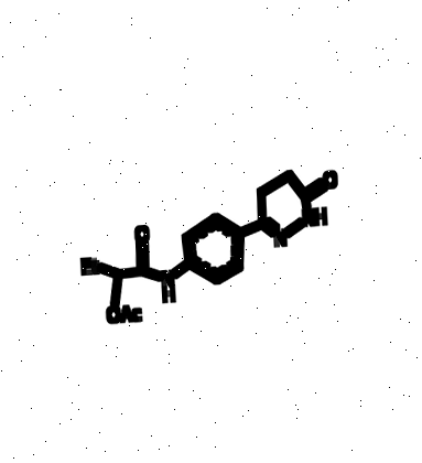 CCC(OC(C)=O)C(=O)Nc1ccc(C2=NNC(=O)CC2)cc1